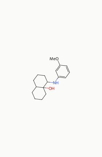 COc1cccc(NC2CCCC3CCCCC32O)c1